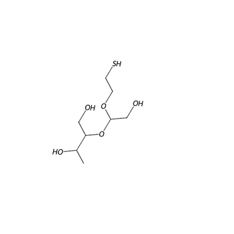 CC(O)C(CO)OC(CO)OCCS